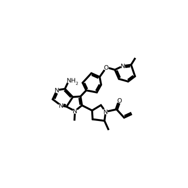 C=CC(=O)N1CC(c2c(-c3ccc(Oc4cccc(C)n4)cc3)c3c(N)ncnc3n2C)CC1C